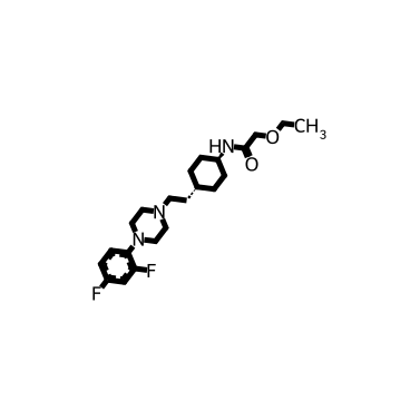 CCOCC(=O)N[C@H]1CC[C@H](CCN2CCN(c3ccc(F)cc3F)CC2)CC1